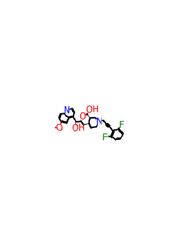 COc1ccc2nccc([C@@H](O)CC[C@@H]3CCN(CC#Cc4c(F)cccc4F)C[C@@H]3C(=O)O)c2c1